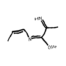 C/C=C\N=C(\OC)C(C)=N